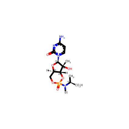 CCN([C@@H](C)C(=O)O)P1(=O)OC[C@H]2O[C@@H](n3ccc(N)nc3=O)[C@](C)(O)[C@@H]2O1